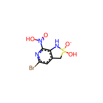 O=[N+](O)c1nc(Br)cc2c1NS([O-])(O)C2